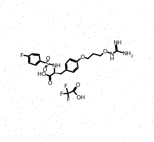 N=C(N)NOCCCOc1ccc(C[C@H](NS(=O)(=O)c2ccc(F)cc2)C(=O)O)cc1.O=C(O)C(F)(F)F